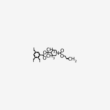 C=CCOC(=O)N1CCC(C(C)(C)OC(=O)c2cc(I)cc(I)c2I)CC1